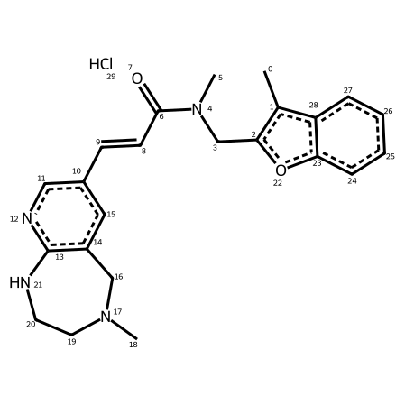 Cc1c(CN(C)C(=O)C=Cc2cnc3c(c2)CN(C)CCN3)oc2ccccc12.Cl